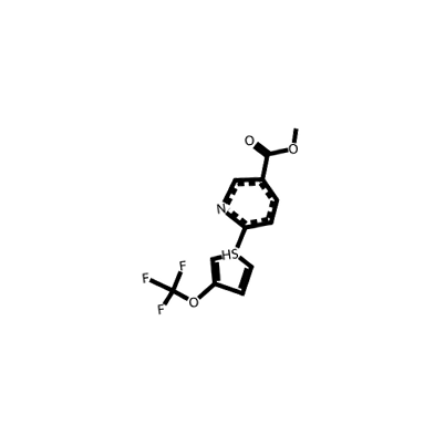 COC(=O)c1ccc([SH]2C=CC(OC(F)(F)F)=C2)nc1